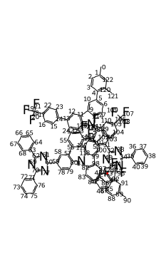 Cc1ccc(-c2ccc3c(c2)c2cc(-c4ccc(C(F)(F)F)cc4)ccc2n3-c2ccc(-c3nc(-c4ccccc4)nc(-c4ccccc4)n3)cc2-c2cccc(-c3cc(-c4nc(-c5ccccc5)nc(-c5ccccc5)n4)ccc3-n3c4ccc(-c5ccc(C)cc5C(F)(F)F)cc4c4cc(-c5ccc(C(F)(F)F)cc5C(F)(F)F)ccc43)c2)c(C)c1